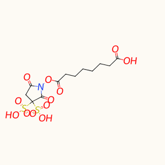 O=C(O)CCCCCCC(=O)ON1C(=O)CC(S(=O)(=O)O)(S(=O)(=O)O)C1=O